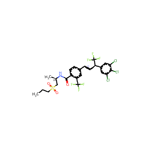 CCCS(=O)(=O)C[C@@H](C)NC(=O)c1ccc(/C=C/C(c2cc(Cl)c(Cl)c(Cl)c2)C(F)(F)F)cc1C(F)(F)F